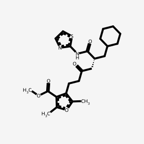 COC(=O)c1c(C)oc(C)c1CCC(=O)C[C@@H](CC1CCCCC1)C(=O)Nc1nccs1